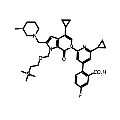 C[C@H]1CCCN(Cc2cc3c(C4CC4)cn(-c4cc(-c5ccc(F)cc5C(=O)O)cc(C5CC5)n4)c(=O)c3n2COCC[Si](C)(C)C)C1